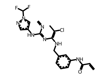 C=CC(=O)Nc1cccc(CNC(/N=C(\N=C)Nc2cnn(C(F)F)c2)=C(/C)Cl)c1